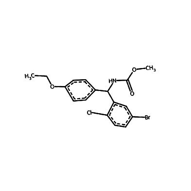 CCOc1ccc(C(NC(=O)OC)c2cc(Br)ccc2Cl)cc1